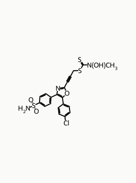 CN(O)C(=S)SCC#Cc1nc(-c2ccc(S(N)(=O)=O)cc2)c(-c2ccc(Cl)cc2)o1